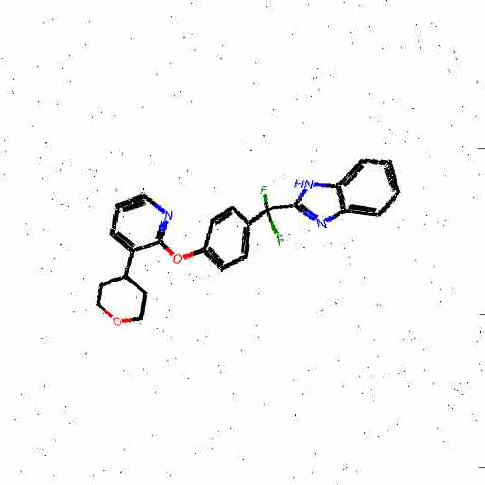 FC(F)(c1ccc(Oc2ncccc2C2CCOCC2)cc1)c1nc2ccccc2[nH]1